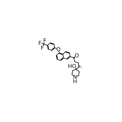 C[C@@H](CCC(=O)c1ccc2c(Oc3ccc(C(F)(F)F)cc3)cccc2c1)C1(O)CCNCC1